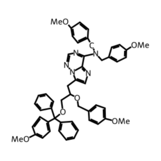 COc1ccc(COC(COC(c2ccccc2)(c2ccccc2)c2ccc(OC)cc2)Cc2cnc3c(N(Cc4ccc(OC)cc4)Cc4ccc(OC)cc4)ncnn23)cc1